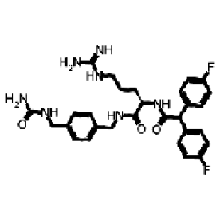 N=C(N)NCCC[C@@H](NC(=O)C(c1ccc(F)cc1)c1ccc(F)cc1)C(=O)NCc1ccc(CNC(N)=O)cc1